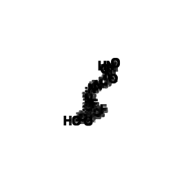 O=C1CC[C@H](N2Cc3cc(N4CCN(CC5CCN(c6ccc([C@@H]7c8ccc(O)cc8OC[C@@H]7c7ccc(F)cc7)cc6F)CC5)CC4)ccc3C2=O)C(=O)N1